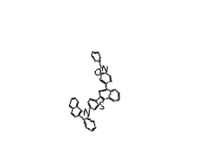 c1ccc(-c2nc3ccc(-c4cc5c6ccc(-n7c8ccccc8c8ccc9ccccc9c87)cc6sc5c5ccccc45)cc3o2)cc1